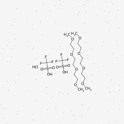 COCCOCCOCCOC.COCCOCCOCCOC.Cl.O=S(=O)(O)C(F)(F)F.O=S(=O)(O)C(F)(F)F